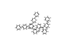 C1=CC(c2ccccc2)CC=C1C1=NC(c2ccc(-c3ccccc3)cc2)NC(c2cccc3oc4c(-n5c6ccccc6c6ccc(-c7ccccc7)cc65)cccc4c23)=N1